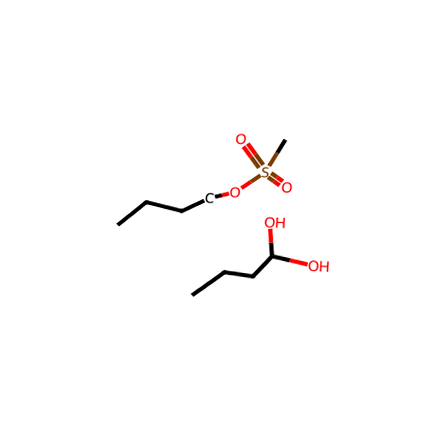 CCCC(O)O.CCCCOS(C)(=O)=O